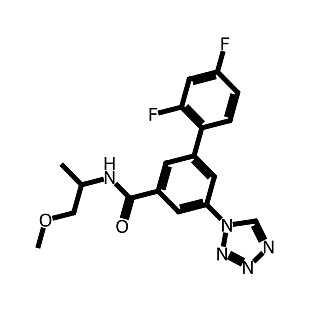 COCC(C)NC(=O)c1cc(-c2ccc(F)cc2F)cc(-n2cnnn2)c1